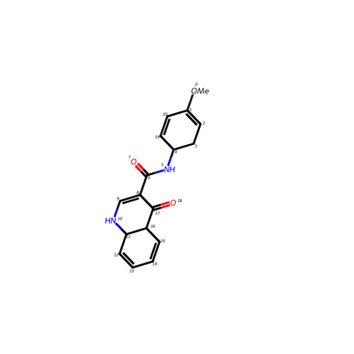 COC1=CCC(NC(=O)C2=CNC3C=CC=CC3C2=O)C=C1